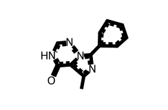 Cc1nc(-c2ccccc2)n2nc[nH]c(=O)c12